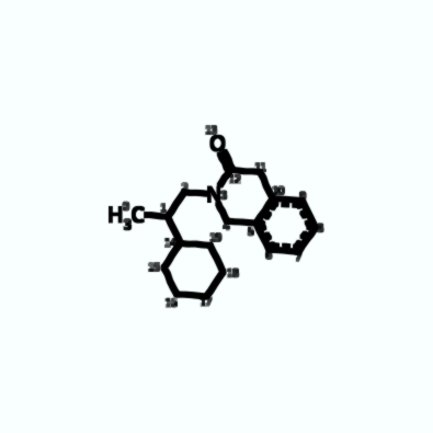 CC(CN1Cc2ccccc2CC1=O)C1CCCCC1